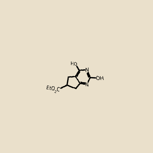 CCOC(=O)C1Cc2nc(O)nc(O)c2C1